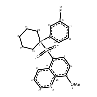 COc1ccc(S(=O)(=O)[N+]2(c3cccc(F)c3)CC[CH]CC2)c2cccnc12